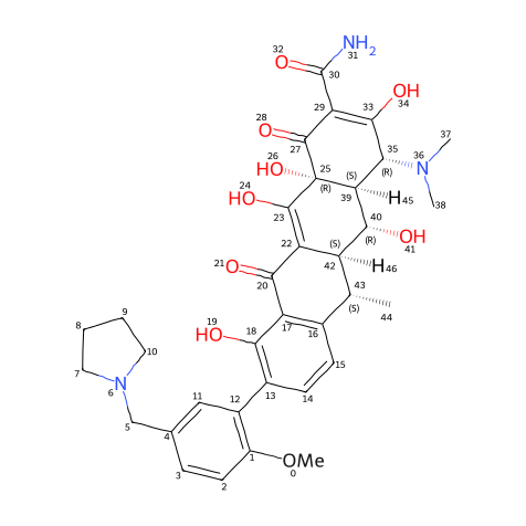 COc1ccc(CN2CCCC2)cc1-c1ccc2c(c1O)C(=O)C1=C(O)[C@@]3(O)C(=O)C(C(N)=O)=C(O)[C@H](N(C)C)[C@H]3[C@H](O)[C@H]1[C@@H]2C